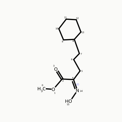 COC(=O)/C(CCCC1CCCCC1)=N\O